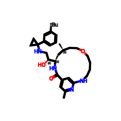 Cc1cc2cc(n1)NCCCCOCC[C@@H](C)C[C@@H]([C@H](O)CNC1(c3cccc(C(C)(C)C)c3)CC1)NC2=O